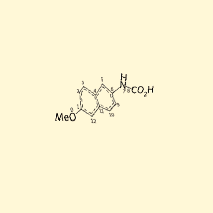 COc1ccc2cc(NC(=O)O)ccc2c1